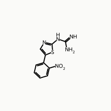 N=C(N)Nc1ncc(-c2ccccc2[N+](=O)[O-])s1